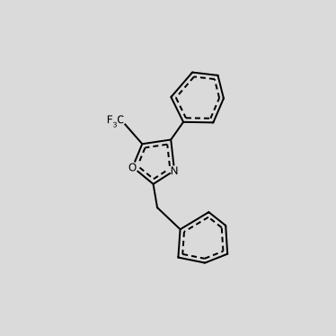 FC(F)(F)c1oc(Cc2ccccc2)nc1-c1ccccc1